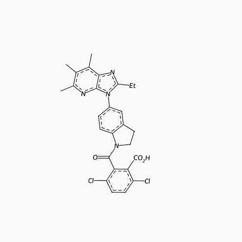 CCc1nc2c(C)c(C)c(C)nc2n1-c1ccc2c(c1)CCN2C(=O)c1c(Cl)ccc(Cl)c1C(=O)O